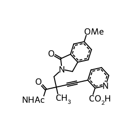 COc1ccc2c(c1)C(=O)N(CC(C)(C#Cc1cccnc1C(=O)O)C(=O)NC(C)=O)C2